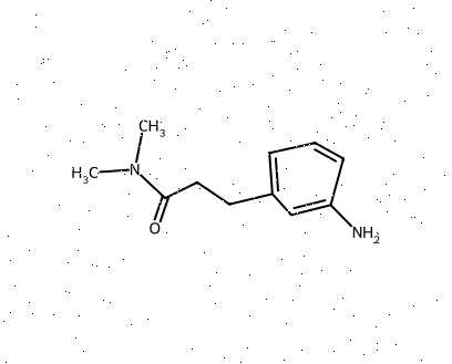 CN(C)C(=O)CCc1cccc(N)c1